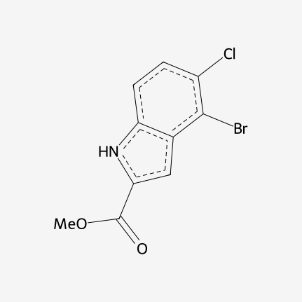 COC(=O)c1cc2c(Br)c(Cl)ccc2[nH]1